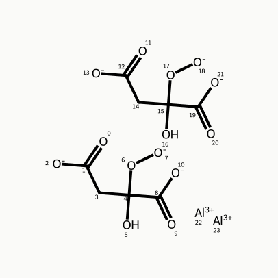 O=C([O-])CC(O)(O[O-])C(=O)[O-].O=C([O-])CC(O)(O[O-])C(=O)[O-].[Al+3].[Al+3]